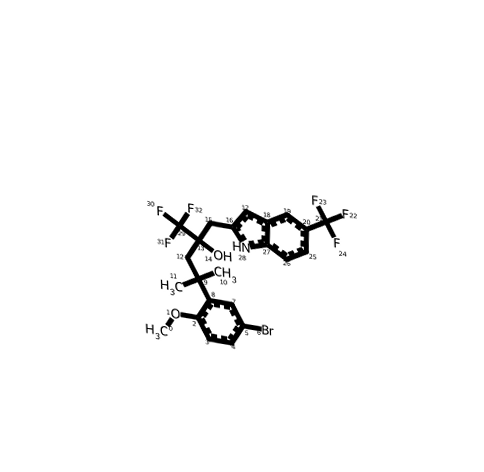 COc1ccc(Br)cc1C(C)(C)CC(O)(Cc1cc2cc(C(F)(F)F)ccc2[nH]1)C(F)(F)F